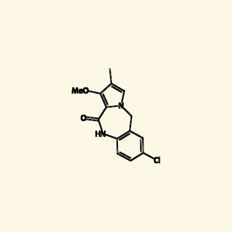 COc1c(C)cn2c1C(=O)Nc1ccc(Cl)cc1C2